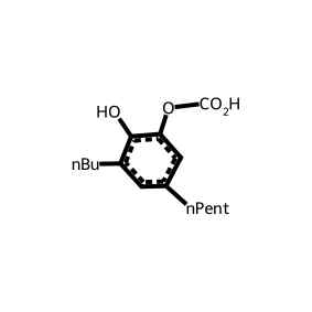 CCCCCc1cc(CCCC)c(O)c(OC(=O)O)c1